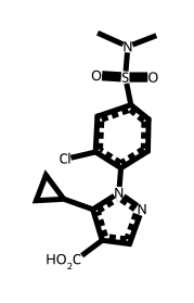 CN(C)S(=O)(=O)c1ccc(-n2ncc(C(=O)O)c2C2CC2)c(Cl)c1